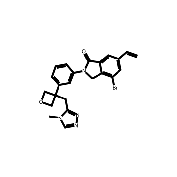 C=Cc1cc(Br)c2c(c1)C(=O)N(c1cccc(C3(Cc4nncn4C)COC3)c1)C2